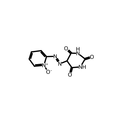 O=C1NC(=O)C(N=Nc2cccc[n+]2[O-])C(=O)N1